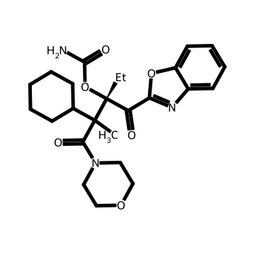 CC[C@@](OC(N)=O)(C(=O)c1nc2ccccc2o1)C(C)(C(=O)N1CCOCC1)C1CCCCC1